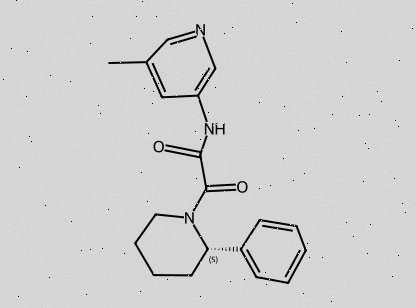 Cc1cncc(NC(=O)C(=O)N2CCCC[C@H]2c2ccccc2)c1